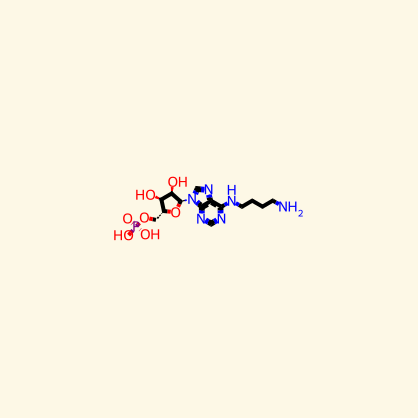 NCCCCNc1ncnc2c1ncn2[C@@H]1O[C@H](COP(=O)(O)O)[C@@H](O)[C@H]1O